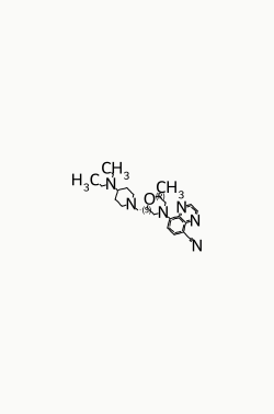 CCN(CC)C1CCN(C[C@H]2CN(c3ccc(C#N)c4nccnc34)C[C@@H](C)O2)CC1